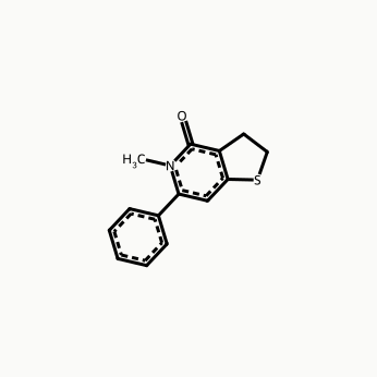 Cn1c(-c2ccccc2)cc2c(c1=O)CCS2